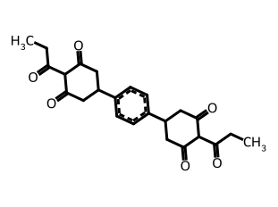 CCC(=O)C1C(=O)CC(c2ccc(C3CC(=O)C(C(=O)CC)C(=O)C3)cc2)CC1=O